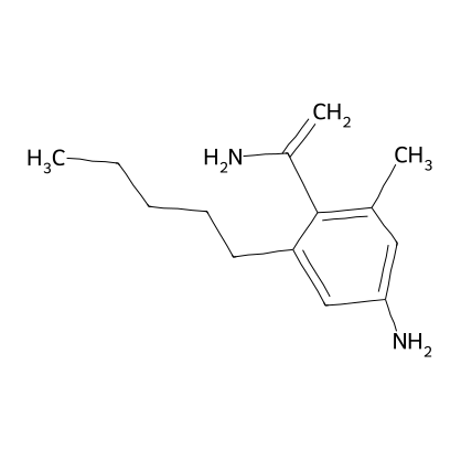 C=C(N)c1c(C)cc(N)cc1CCCCC